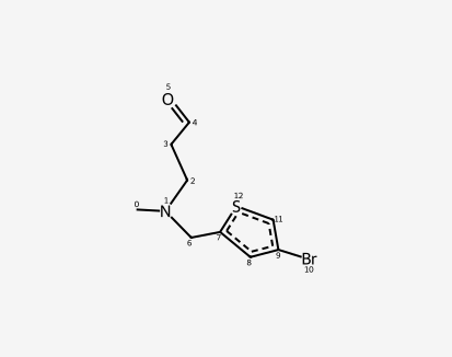 CN(CCC=O)Cc1cc(Br)cs1